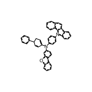 C1=CC(c2ccccc2)CC=C1N(c1ccc(-n2c3ccccc3c3ccc4ccccc4c32)cc1)c1ccc2c(c1)oc1ccccc12